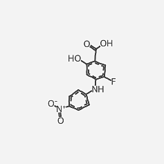 O=C(O)c1cc(F)c(Nc2ccc([N+](=O)[O-])cc2)cc1O